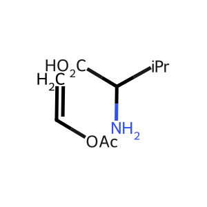 C=COC(C)=O.CC(C)C(N)C(=O)O